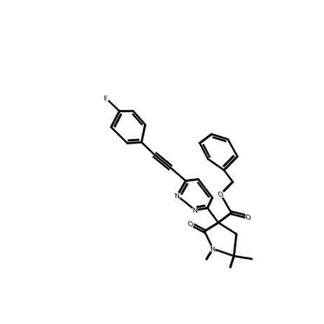 CN1C(=O)C(C(=O)OCc2ccccc2)(c2ccc(C#Cc3ccc(F)cc3)nn2)CC1(C)C